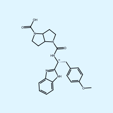 COc1ccc(C[C@@H](NC(=O)N2CCC3C2CCN3C(=O)O)c2nc3ccccc3[nH]2)cc1